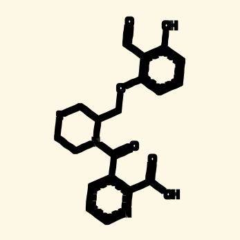 O=Cc1c(O)cccc1OCC1CSCCN1C(=O)c1cccnc1C(=O)O